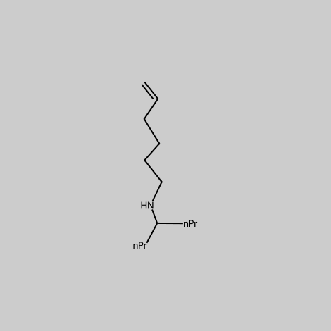 C=CCCCCNC(CCC)CCC